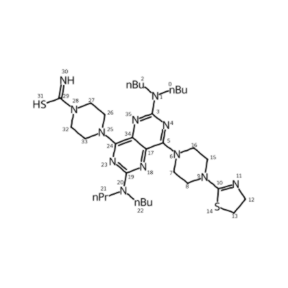 CCCCN(CCCC)c1nc(N2CCN(C3=NCCS3)CC2)c2nc(N(CCC)CCCC)nc(N3CCN(C(=N)S)CC3)c2n1